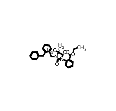 CCOC(=O)c1ccccc1N1C(=O)N(Cc2ccccc2Cc2ccccc2)C(C)(C)C1=O